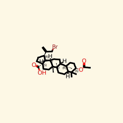 C=C(CBr)[C@@H]1CC[C@]2(C(=O)O)CC[C@]3(C)[C@H](CC[C@@H]4[C@@]5(C)CC[C@H](OC(C)=O)C(C)(C)[C@@H]5CC[C@]43C)[C@@H]12